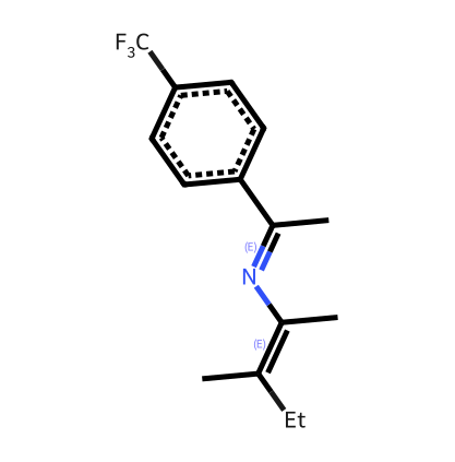 CC/C(C)=C(C)/N=C(\C)c1ccc(C(F)(F)F)cc1